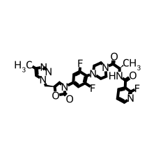 Cc1cn(C[C@H]2CN(c3cc(F)c(N4CCN(C(=O)[C@H](C)NC(=O)c5cccnc5F)CC4)c(F)c3)C(=O)O2)nn1